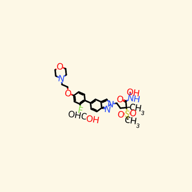 C[C@@](CCn1cc2cc(-c3ccc(OCCN4CCOCC4)cc3F)ccc2n1)(C(=O)NO)S(C)(=O)=O.O=CO